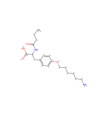 CCCC(=O)NC(Cc1ccc(OCCCCCCN)cc1)C(=O)O